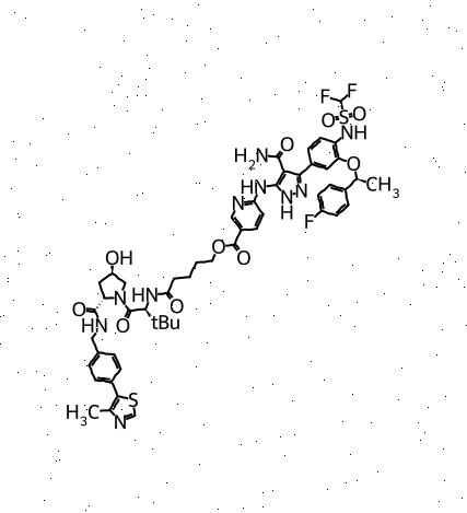 Cc1ncsc1-c1ccc(CNC(=O)[C@@H]2C[C@@H](O)CN2C(=O)[C@@H](NC(=O)CCCCOC(=O)c2ccc(Nc3[nH]nc(-c4ccc(NS(=O)(=O)C(F)F)c(O[C@@H](C)c5ccc(F)cc5)c4)c3C(N)=O)nc2)C(C)(C)C)cc1